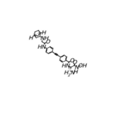 NC[C@H](NC(=O)c1ccc(C#Cc2ccc(NC(=O)CNC3C[C@@H]4CC[C@H]3C4)cc2)cc1)C(=O)NO